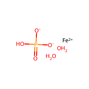 O.O.O=P([O-])([O-])O.[Fe+2]